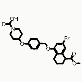 COC(=O)C1CCCc2c(OCc3ccc(OC4CCN(C(=O)O)CC4)cc3)cc(Br)cc21